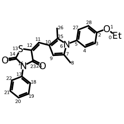 CCOc1ccc(-n2c(C)cc(C=C3SC(=O)N(c4ccccc4)C3=O)c2C)cc1